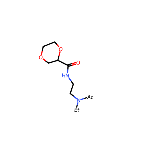 CCN(CCNC(=O)C1COCCO1)C(C)=O